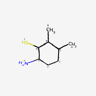 CC1CCC(N)C(S)C1C